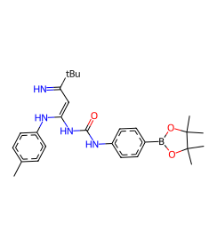 Cc1ccc(N/C(=C\C(=N)C(C)(C)C)NC(=O)Nc2ccc(B3OC(C)(C)C(C)(C)O3)cc2)cc1